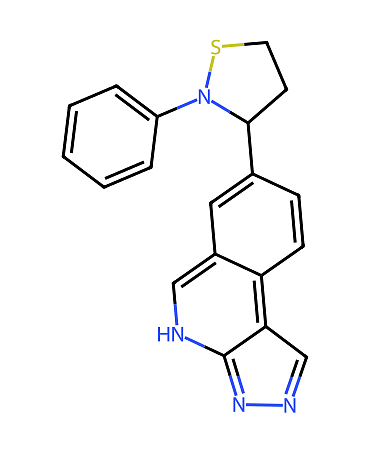 c1ccc(N2SCCC2c2ccc3c4cnnc-4[nH]cc3c2)cc1